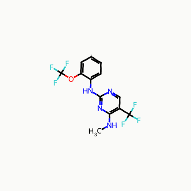 CNc1nc(Nc2cc[c]cc2OC(F)(F)F)ncc1C(F)(F)F